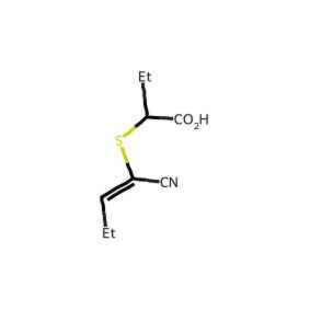 CC/C=C(\C#N)SC(CC)C(=O)O